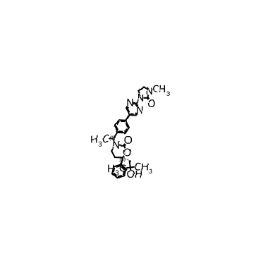 C[C@@H](c1ccc(-c2cnc(N3CCN(C)C3=O)nc2)cc1)N1CC[C@](CC(C)(C)O)(c2ccccc2)OC1=O